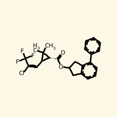 CC1(C)C(/C=C(/Cl)C(F)(F)F)[C@H]1C(=O)OC1Cc2cccc(-c3ccccc3)c2C1